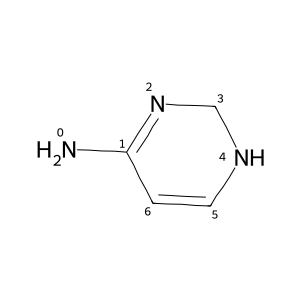 NC1=NCNC=C1